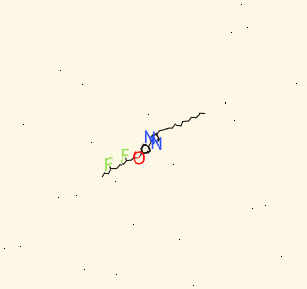 CCCCCCCCCCCCc1cnc(-c2ccc(OCCC(F)CCCC(F)CCC)cc2)nc1